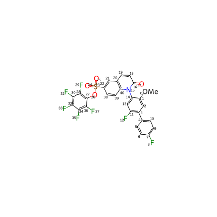 COc1cc(-c2ccc(F)cc2)c(F)cc1-n1c(=O)ccc2cc(S(=O)(=O)Oc3c(F)c(F)c(F)c(F)c3F)ccc21